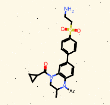 CC(=O)N1c2ccc(-c3ccc(S(=O)(=O)CCN)cc3)cc2N(C(=O)C2CC2)CC1C